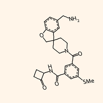 CSc1cc(C(=O)NC2CCC2=O)cc(C(=O)N2CCC3(CC2)COc2ccc(CN)cc23)c1